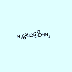 COC(=O)Cc1ccc2oc(-c3ccc(N)cc3Cl)nc2c1